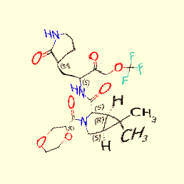 CC1(C)[C@@H]2[C@@H](C(=O)N[C@@H](C[C@@H]3CCNC3=O)C(=O)COC(F)(F)F)N(C(=O)[C@H]3COCCO3)C[C@@H]21